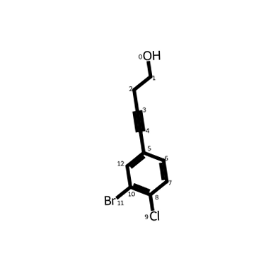 OCCC#Cc1ccc(Cl)c(Br)c1